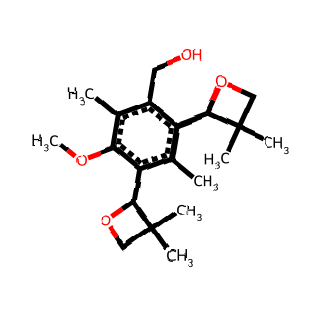 COc1c(C)c(CO)c(C2OCC2(C)C)c(C)c1C1OCC1(C)C